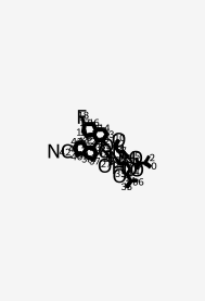 C=C(C)C(=O)OCCNC(=O)Oc1ccc2cc(F)ccc2c1-c1c(OC(=O)NCCOC(=O)C(=C)C)ccc2cc(C#N)ccc12